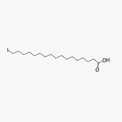 O=C(O)CCCCCCCCCCCCCCCCI